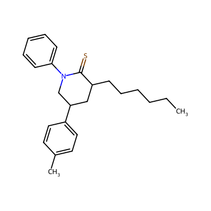 CCCCCCC1CC(c2ccc(C)cc2)CN(c2ccccc2)C1=S